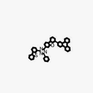 c1ccc(-c2nc(-c3ccc4c(c3)oc3c(-c5ccc6c7ccccc7c7ccccc7c6c5)cccc34)nc(-c3cccc4c3sc3ccccc34)n2)cc1